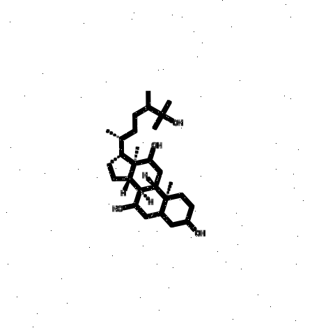 CC(CC[C@@H](C)[C@H]1CC[C@H]2[C@@H]3C(O)CC4CC(O)CC[C@]4(C)[C@H]3CC(O)[C@]12C)C(C)(C)O